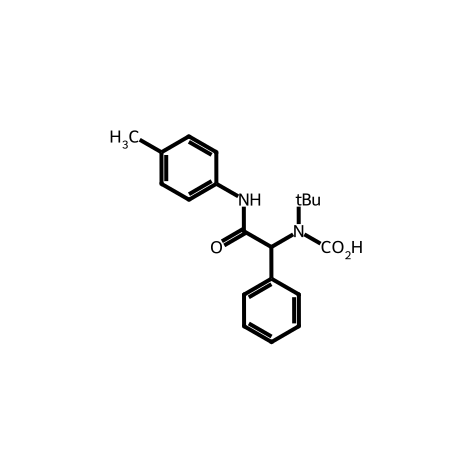 Cc1ccc(NC(=O)C(c2ccccc2)N(C(=O)O)C(C)(C)C)cc1